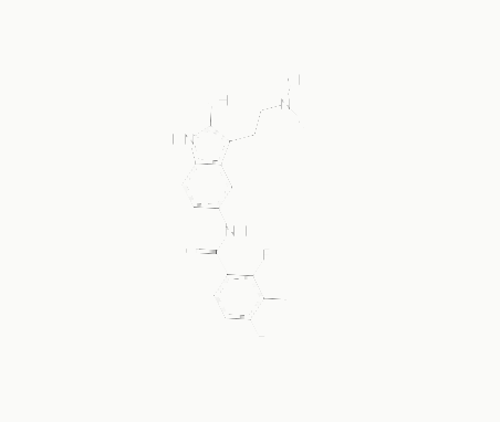 Cc1[nH]c2ccc(NC(=O)c3ccc(F)c(F)c3F)cc2c1CCN(C)C